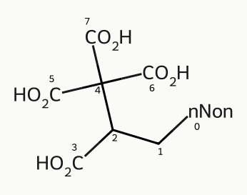 CCCCCCCCCCC(C(=O)O)C(C(=O)O)(C(=O)O)C(=O)O